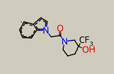 O=C(Cn1ccc2[c]cccc21)N1CCCC(O)(C(F)(F)F)C1